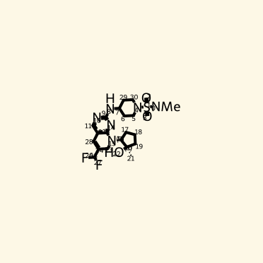 CNS(=O)(=O)N1CCC(Nc2ncc3c(n2)N([C@@H]2CCC[C@@]2(C)O)CC(C(F)F)=C3)CC1